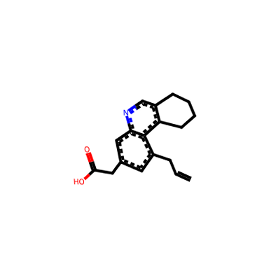 C=CCc1cc(CC(=O)O)cc2ncc3c(c12)CCCC3